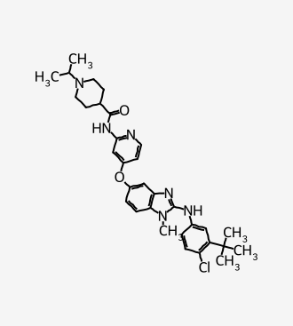 CC(C)N1CCC(C(=O)Nc2cc(Oc3ccc4c(c3)nc(Nc3ccc(Cl)c(C(C)(C)C)c3)n4C)ccn2)CC1